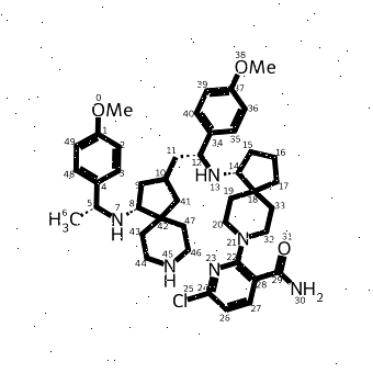 COc1ccc([C@@H](C)N[C@@H]2CC(C[C@@H](N[C@@H]3CCCC34CCN(c3nc(Cl)ccc3C(N)=O)CC4)c3ccc(OC)cc3)CC23CCNCC3)cc1